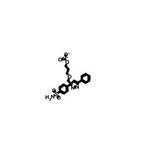 NS(=O)(=O)c1ccc(C2(COCCCO[N+](=O)[O-])C=C(c3ccccc3)N=N2)cc1